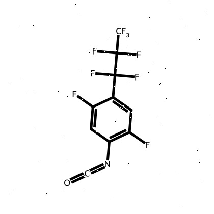 O=C=Nc1cc(F)c(C(F)(F)C(F)(F)C(F)(F)F)cc1F